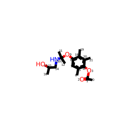 CC(=O)Oc1c(C)cc(OC(C)(C)NCC(C)O)c(C)c1C